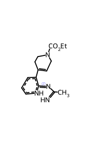 CCOC(=O)N1CC=C(c2ccc[nH]/c2=N\C(C)=N)CC1